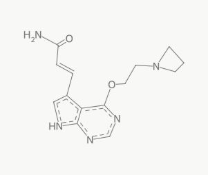 NC(=O)C=Cc1c[nH]c2ncnc(OCCN3CCC3)c12